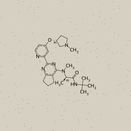 C[C@H](C(=O)NC(C)(C)C)N(C)c1nc(-c2cc(O[C@@H]3CCN(C)C3)ccn2)nc2c1CCC2